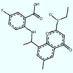 CC[S+]([O-])c1cc(=O)c2cc(C)cc(C(C)Nc3ccc(F)cc3C(=O)O)c2o1